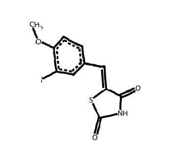 COc1ccc(/C=C2\SC(=O)NC2=O)cc1I